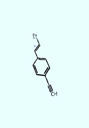 C#Cc1ccc(/C=C/CC)cc1